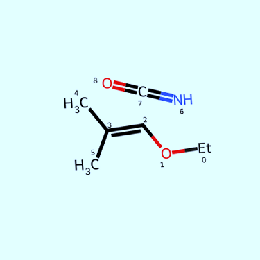 CCOC=C(C)C.N=C=O